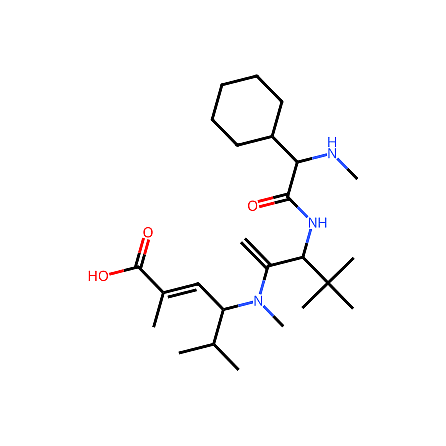 C=C(C(NC(=O)C(NC)C1CCCCC1)C(C)(C)C)N(C)C(/C=C(\C)C(=O)O)C(C)C